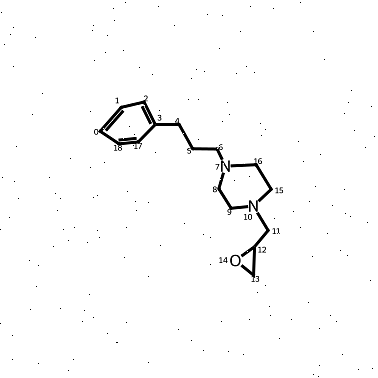 c1ccc(CCCN2CCN(CC3CO3)CC2)cc1